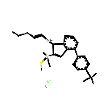 CCCC=[CH][Zr+2][CH]1C([Si](C)(C)SC)=Cc2c(-c3ccc(C(C)(C)C)cc3)cccc21.[Cl-].[Cl-]